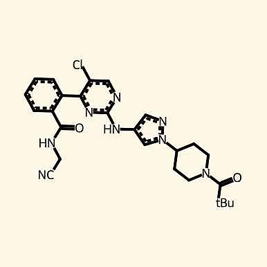 CC(C)(C)C(=O)N1CCC(n2cc(Nc3ncc(Cl)c(-c4ccccc4C(=O)NCC#N)n3)cn2)CC1